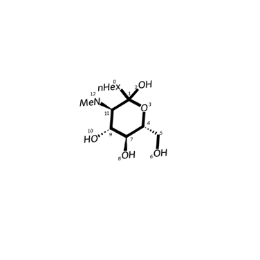 CCCCCCC1(O)O[C@H](CO)[C@@H](O)[C@H](O)[C@H]1NC